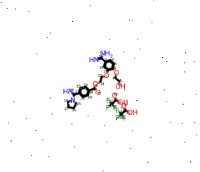 N=C(N)c1ccc(OCCO)c(OCCOC(=O)c2ccc(C(=N)N3CCCC3)cc2)c1.O=C(O)C(F)(F)F.O=C(O)C(F)(F)F